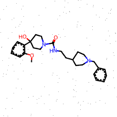 COc1ccccc1C1(O)CCN(C(=O)NCCC2CCN(Cc3ccccc3)CC2)CC1